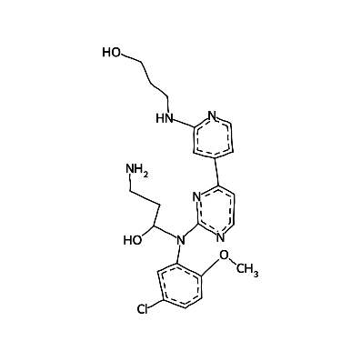 COc1ccc(Cl)cc1N(c1nccc(-c2ccnc(NCCCO)c2)n1)C(O)CCN